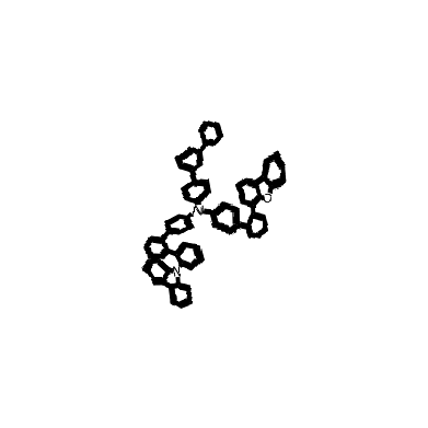 c1ccc(-c2cccc(-c3ccc(N(c4ccc(-c5ccccc5-c5ccccc5-n5c6ccccc6c6ccccc65)cc4)c4ccc(-c5ccccc5-c5cccc6c5oc5ccccc56)cc4)cc3)c2)cc1